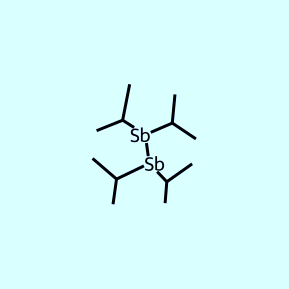 C[CH](C)[Sb]([CH](C)C)[Sb]([CH](C)C)[CH](C)C